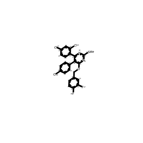 CSc1nc(OCc2ccc(F)c(F)c2)c(-c2ccc(Cl)cc2)c(-c2ccc(Cl)cc2Cl)n1